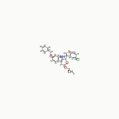 CCOC(=O)Cc1c(Cc2csc3ccc(Cl)cc23)[nH]c2cc(OCc3ccccc3)ccc12